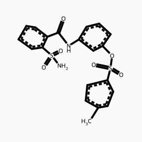 Cc1ccc(S(=O)(=O)Oc2cccc(NC(=O)c3ccccc3S(N)(=O)=O)c2)cc1